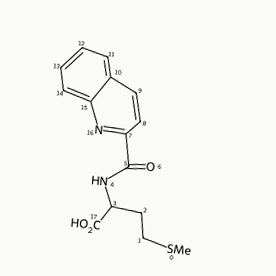 CSCCC(NC(=O)c1ccc2ccccc2n1)C(=O)O